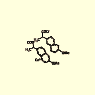 COc1ccc2cc(C(C)C(=O)[O-])ccc2c1.COc1ccc2cc(C(C)C(=O)[O-])ccc2c1.[Ca+2]